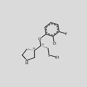 CCSC[C@@H](Oc1cccc(F)c1Cl)[C@H]1CCNC1